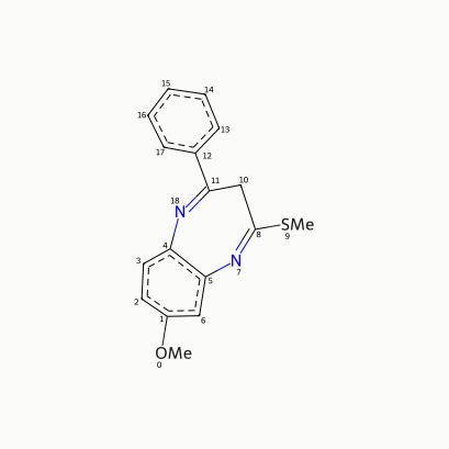 COc1ccc2c(c1)N=C(SC)CC(c1ccccc1)=N2